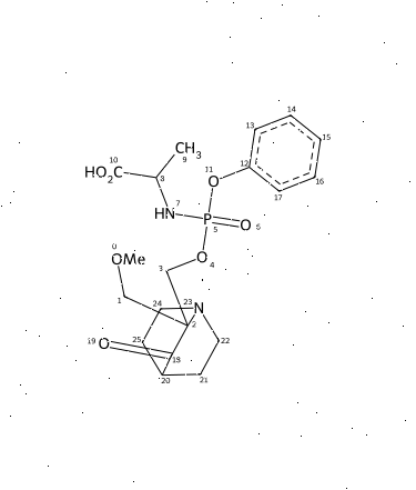 COCC1(COP(=O)(NC(C)C(=O)O)Oc2ccccc2)C(=O)C2CCN1CC2